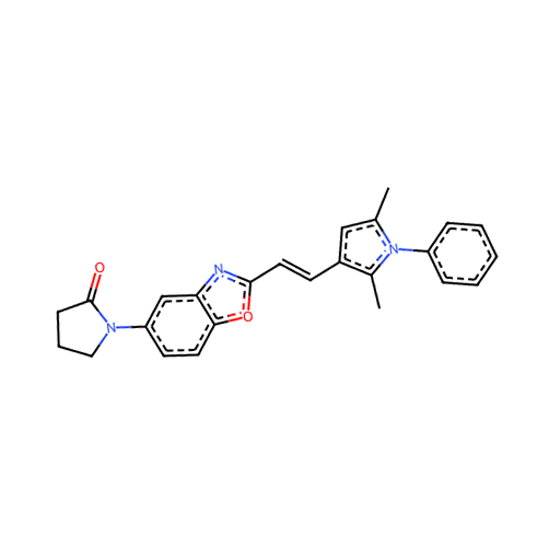 Cc1cc(C=Cc2nc3cc(N4CCCC4=O)ccc3o2)c(C)n1-c1ccccc1